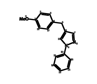 COc1ccc(Cc2cnn(-c3ccccc3)c2)cc1